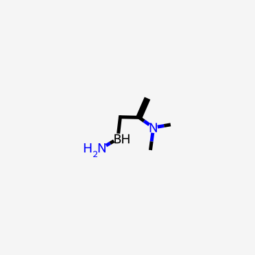 C=C(CBN)N(C)C